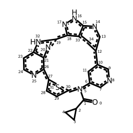 O=C(C1CC1)n1c2cncc(c2)c2cnc3[nH]nc(c4nc5c(ccnc5c5ccc1s5)[nH]4)c3c2